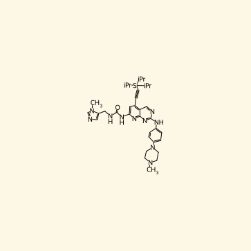 CC(C)[Si](C#Cc1cc(NC(=O)NCc2cncn2C)nc2nc(Nc3ccc(N4CCN(C)CC4)cc3)ncc12)(C(C)C)C(C)C